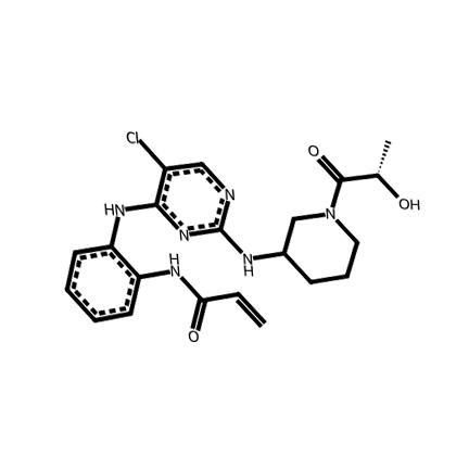 C=CC(=O)Nc1ccccc1Nc1nc(NC2CCCN(C(=O)[C@H](C)O)C2)ncc1Cl